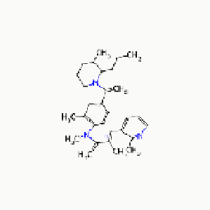 C=C(/C(C)=C/c1cccnc1C)N(C)c1ccc(C(=C)N2CCCC(C)C2CCC)cc1C